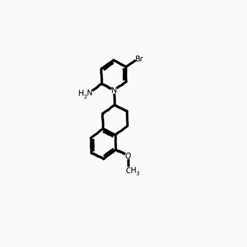 COc1cccc2c1CCC(N1C=C(Br)C=CC1N)C2